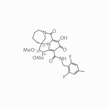 CO[C@@H]1c2c(C(=O)NCc3c(F)cc(C)cc3F)c(=O)c(O)c3n2[C@]2(CCCCN(C2)C3=O)[C@H]1OC